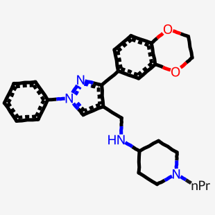 CCCN1CCC(NCc2cn(-c3ccccc3)nc2-c2ccc3c(c2)OCCO3)CC1